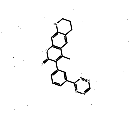 Cc1c(-c2cccc(-c3nncnn3)c2)c(=O)oc2cc3c(cc12)CCCN3